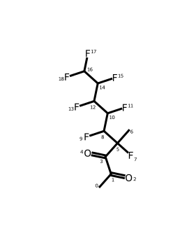 CC(=O)C(=O)C(C)(F)C(F)C(F)C(F)C(F)C(F)F